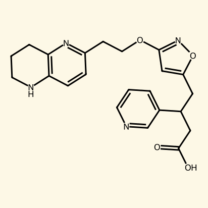 O=C(O)CC(Cc1cc(OCCc2ccc3c(n2)CCCN3)no1)c1cccnc1